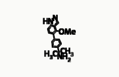 COc1c(-c2ccc(C(C)(C)N)cc2)ccc2[nH]ncc12